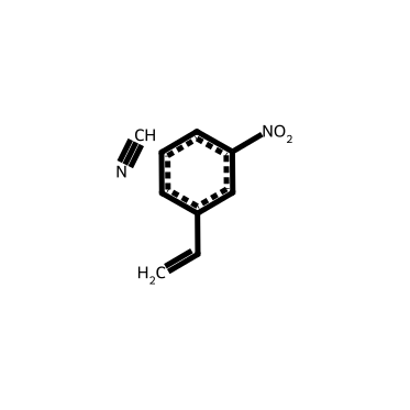 C#N.C=Cc1cccc([N+](=O)[O-])c1